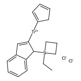 CC[Si]1(C2[C]([Ti+2][C]3=CC=CC3)=Cc3ccccc32)CCC1.[Cl-].[Cl-]